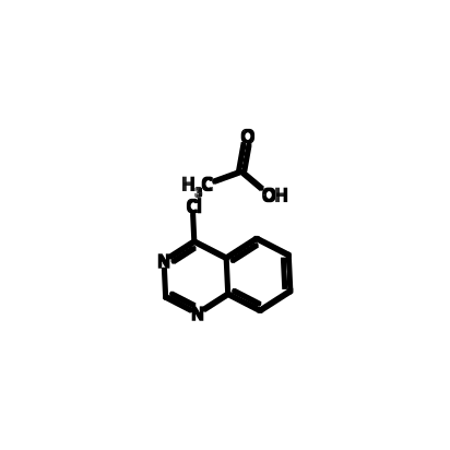 CC(=O)O.Clc1ncnc2ccccc12